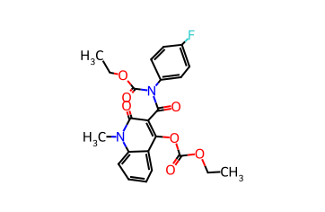 CCOC(=O)Oc1c(C(=O)N(C(=O)OCC)c2ccc(F)cc2)c(=O)n(C)c2ccccc12